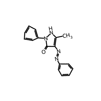 Cc1[nH]n(-c2ccccc2)c(=O)c1N=Nc1ccccc1